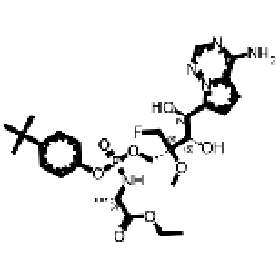 CCOC(=O)[C@H](C)NP(=O)(OC[C@@](CF)(OC)[C@@H](O)[C@@H](O)c1ccc2c(N)ncnn12)Oc1ccc(C(C)(C)C)cc1